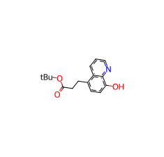 CC(C)(C)OC(=O)CCc1ccc(O)c2ncccc12